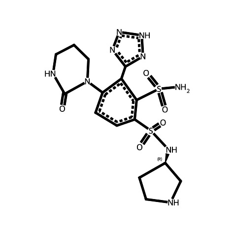 NS(=O)(=O)c1c(S(=O)(=O)N[C@@H]2CCNC2)ccc(N2CCCNC2=O)c1-c1nn[nH]n1